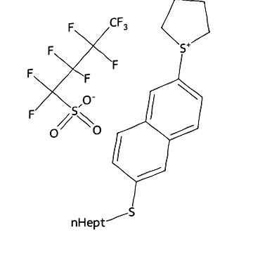 CCCCCCCSc1ccc2cc([S+]3CCCC3)ccc2c1.O=S(=O)([O-])C(F)(F)C(F)(F)C(F)(F)C(F)(F)F